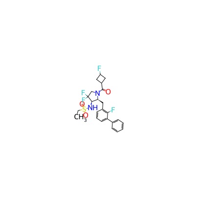 CCS(=O)(=O)N[C@@H]1[C@H](Cc2cccc(-c3ccccc3)c2F)N(C(=O)C2CC(F)C2)CC1(F)F